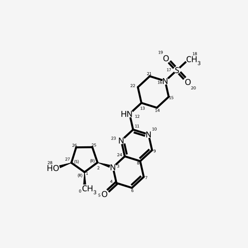 C[C@@H]1[C@H](n2c(=O)ccc3cnc(NC4CCN(S(C)(=O)=O)CC4)nc32)CC[C@@H]1O